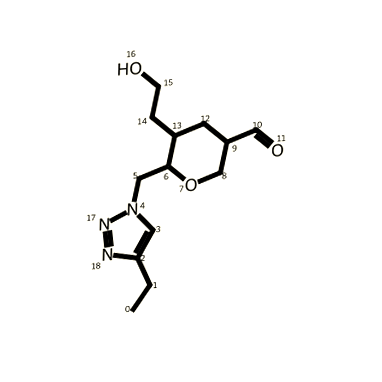 CCc1cn(CC2OCC(C=O)CC2CCO)nn1